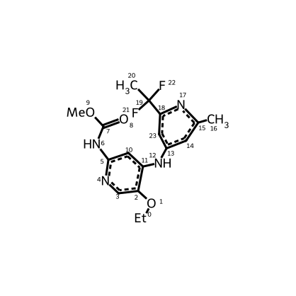 CCOc1cnc(NC(=O)OC)cc1Nc1cc(C)nc(C(C)(F)F)c1